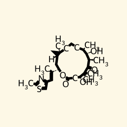 C/C(=C\c1csc(C)n1)[C@@H]1C[C@@H]2C[C@@]2(C)CCC[C@H](C)[C@H](O)[C@@H](C)C(=O)C(C)(C)[C@@H](O)CC(=O)O1